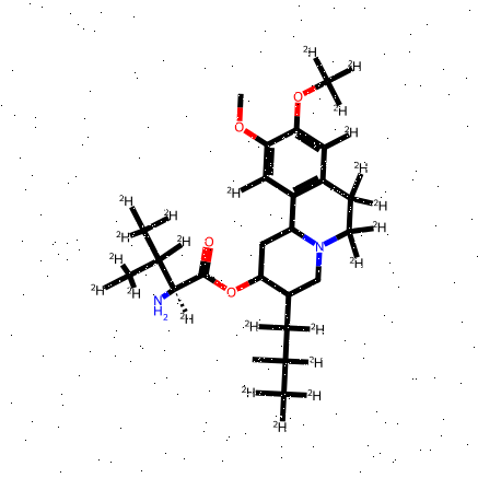 [2H]c1c(OC)c(OC([2H])([2H])[2H])c([2H])c2c1C1CC(OC(=O)[C@@]([2H])(N)C([2H])(C([2H])([2H])[2H])C([2H])([2H])[2H])C(C([2H])([2H])C([2H])(C)C([2H])([2H])[2H])CN1C([2H])([2H])C2([2H])[2H]